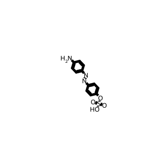 Nc1ccc(N=Nc2ccc(OS(=O)(=O)O)cc2)cc1